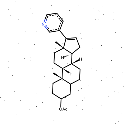 CC(=O)OC1CC[C@@]2(C)C(CC[C@@H]3[C@H]2CC[C@]2(C)C(c4cccnc4)=CC[C@@H]32)C1